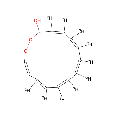 [2H]C1=C([2H])C([2H])=C([2H])C([2H])=C([2H])C([2H])=C([2H])C([2H])=C([2H])C(O)OOC=C1